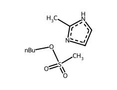 CCCCOS(C)(=O)=O.Cc1ncc[nH]1